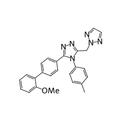 COc1ccccc1-c1ccc(-c2nnc(Cn3nccn3)n2-c2ccc(C)cc2)cc1